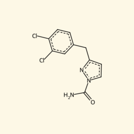 NC(=O)n1ccc(Cc2ccc(Cl)c(Cl)c2)n1